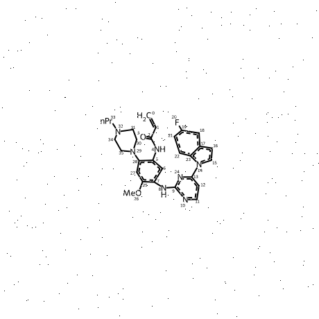 C=CC(=O)Nc1cc(Nc2nccc(-n3ccc4cc(F)ccc43)n2)c(OC)cc1N1CCN(CCC)CC1